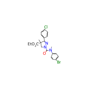 CCOC(=O)C1(C)CN(C(=O)N(C)c2ccc(Br)cc2)N=C1c1ccc(Cl)cc1